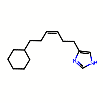 C(=C/CCC1CCCCC1)/CCc1c[nH]cn1